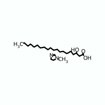 CCCCCCCCCCCCCCCCCC(O)CC(=O)O.CN1C=NCC1